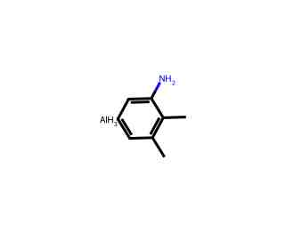 Cc1cccc(N)c1C.[AlH3]